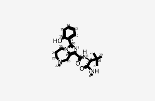 CNC(=O)[C@@H](NC(=O)c1nc(-c2ccccc2O)n2c1CN(C)CCC2)C(C)(C)C